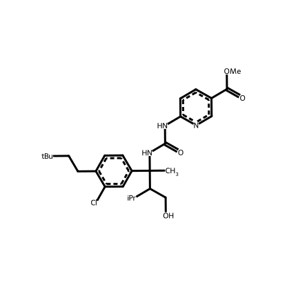 COC(=O)c1ccc(NC(=O)NC(C)(c2ccc(CCC(C)(C)C)c(Cl)c2)C(CO)C(C)C)nc1